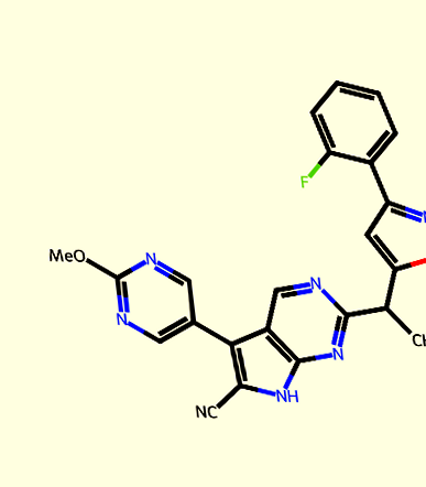 COc1ncc(-c2c(C#N)[nH]c3nc(C(C)c4cc(-c5ccccc5F)no4)ncc23)cn1